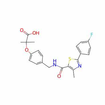 Cc1nc(-c2ccc(F)cc2)sc1C(=O)NCc1ccc(OC(C)(C)C(=O)O)cc1